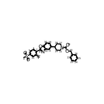 CS(=O)(=O)c1ccc(-c2nc3cc(C4CCN(C(=O)OCc5ccccc5)CC4)ccc3o2)c(F)c1